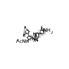 CC(=O)Nc1cc(-c2ccc(F)cc2F)cc(-n2cnc3cc(-c4ccc(N)c(F)c4)cnc32)c1